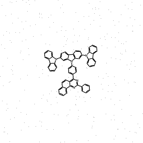 c1ccc(-c2nc(-c3ccc(-n4c5cc(-n6c7ccccc7c7ccccc76)ccc5c5ccc(-n6c7ccccc7c7ccccc76)cc54)cc3)c3ccc4ccccc4c3n2)cc1